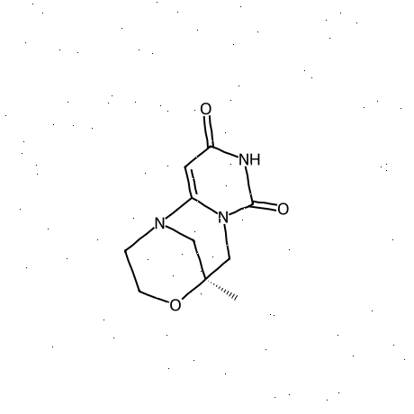 C[C@@]12CN(CCO1)c1cc(=O)[nH]c(=O)n1C2